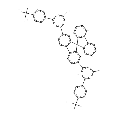 CC(C)(C)c1ccc(-c2nc(Cl)nc(-c3ccc4c(c3)C3(c5ccccc5-c5ccccc53)c3cc(-c5nc(Cl)nc(-c6ccc(C(C)(C)C)cc6)n5)ccc3-4)n2)cc1